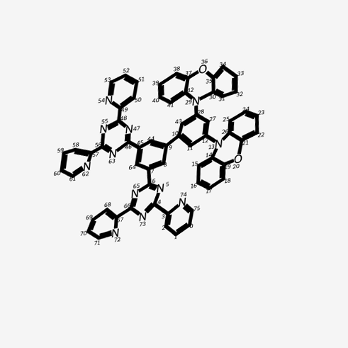 c1ccc(-c2nc(-c3cc(-c4cc(N5c6ccccc6Oc6ccccc65)cc(N5c6ccccc6Oc6ccccc65)c4)cc(-c4nc(-c5ccccn5)nc(-c5ccccn5)n4)c3)nc(-c3ccccn3)n2)nc1